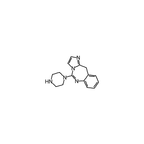 c1ccc2c(c1)Cc1nccn1C(N1CCNCC1)=N2